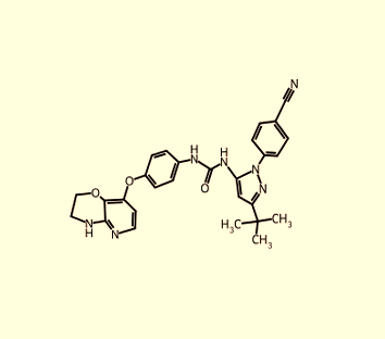 CC(C)(C)c1cc(NC(=O)Nc2ccc(Oc3ccnc4c3OCCN4)cc2)n(-c2ccc(C#N)cc2)n1